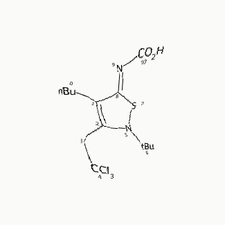 CCCCc1c(CC(Cl)(Cl)Cl)n(C(C)(C)C)sc1=NC(=O)O